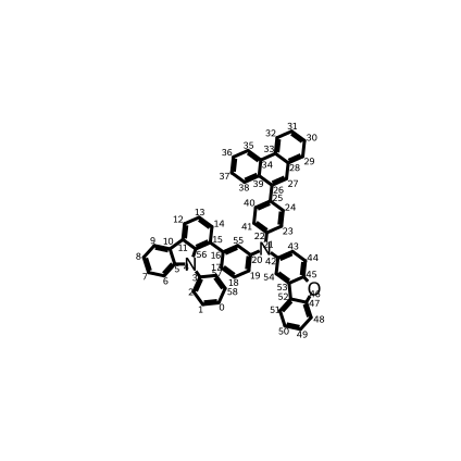 c1ccc(-n2c3ccccc3c3cccc(-c4cccc(N(c5ccc(-c6cc7ccccc7c7ccccc67)cc5)c5ccc6oc7ccccc7c6c5)c4)c32)cc1